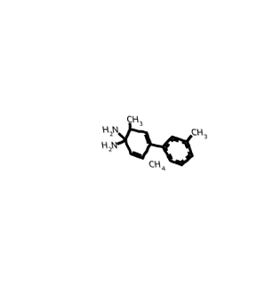 C.Cc1cccc(C2=CC(C)C(N)(N)C=C2)c1